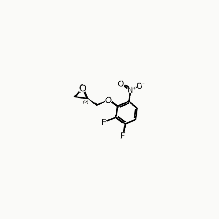 O=[N+]([O-])c1ccc(F)c(F)c1OC[C@H]1CO1